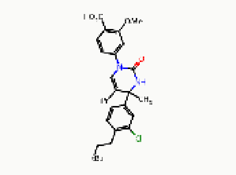 COc1cc(N2C=C(C(C)C)C(C)(c3ccc(CCC(C)(C)C)c(Cl)c3)NC2=O)ccc1C(=O)O